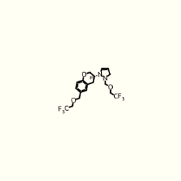 FC(F)(F)COCc1ccc2c(c1)C[C@@H](N1C=CCN1COCC(F)(F)F)CO2